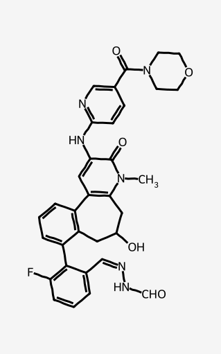 Cn1c2c(cc(Nc3ccc(C(=O)N4CCOCC4)cn3)c1=O)-c1cccc(-c3c(F)cccc3/C=N\NC=O)c1CC(O)C2